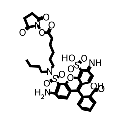 CCCCN(CCCCCC(=O)ON1C(=O)CCC1=O)S(=O)(=O)c1c(N)ccc2c(-c3ccccc3C(=O)O)c3ccc(=N)c(S(=O)(=O)O)c-3oc12